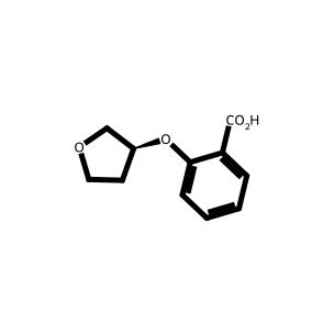 O=C(O)c1ccccc1O[C@H]1CCOC1